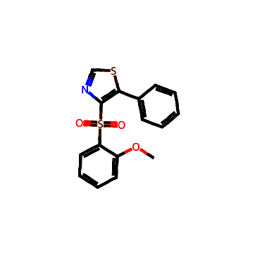 COc1ccccc1S(=O)(=O)c1ncsc1-c1ccccc1